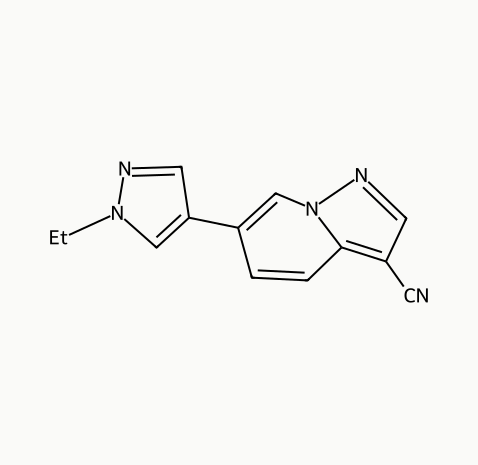 CCn1cc(-c2ccc3c(C#N)cnn3c2)cn1